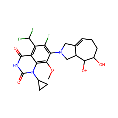 COc1c(N2CC3=CCCC(O)C(O)C3C2)c(F)c(C(F)F)c2c(=O)[nH]c(=O)n(C3CC3)c12